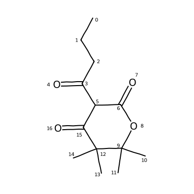 CCCC(=O)C1C(=O)OC(C)(C)C(C)(C)C1=O